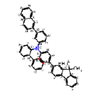 CC1(C)c2ccccc2-c2ccc(-c3ccc(N(c4cccc(-c5ccc6ccccc6c5)c4)c4ccccc4-c4ccccc4)cc3)cc21